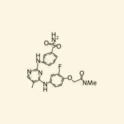 CNC(=O)COc1ccc(Nc2nc(Nc3cccc(S(N)(=O)=O)c3)ncc2C)cc1F